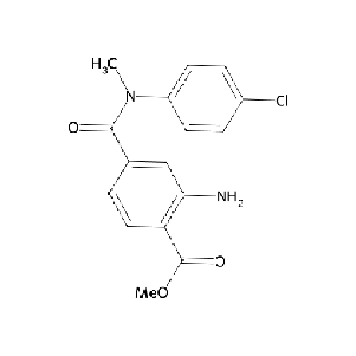 COC(=O)c1ccc(C(=O)N(C)c2ccc(Cl)cc2)cc1N